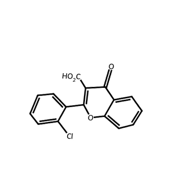 O=C(O)c1c(-c2ccccc2Cl)oc2ccccc2c1=O